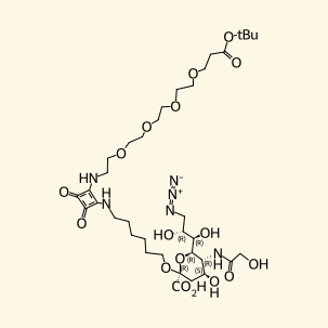 CC(C)(C)OC(=O)CCOCCOCCOCCOCCNc1c(NCCCCCCO[C@]2(C(=O)O)C[C@H](O)[C@@H](NC(=O)CO)[C@H]([C@H](O)[C@H](O)CN=[N+]=[N-])O2)c(=O)c1=O